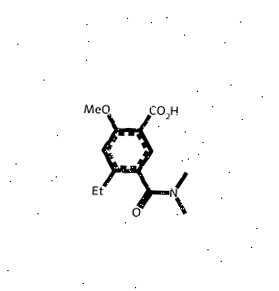 CCc1cc(OC)c(C(=O)O)cc1C(=O)N(C)C